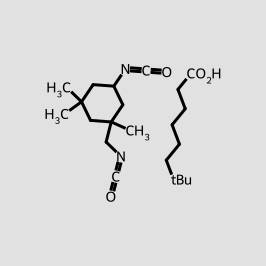 CC(C)(C)CCCCCC(=O)O.CC1(C)CC(N=C=O)CC(C)(CN=C=O)C1